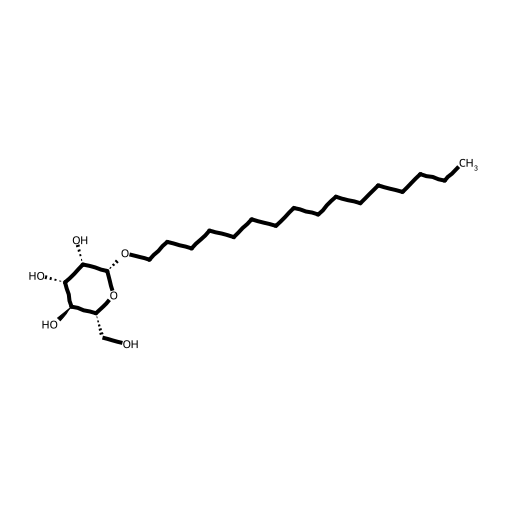 CCCCCCCCCCCCCCCCO[C@@H]1O[C@H](CO)[C@@H](O)[C@H](O)[C@@H]1O